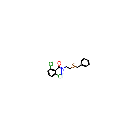 O=C(NCCSCc1ccccc1)c1c(Cl)cccc1Cl